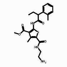 CCC(C(=O)Nc1sc(C(=O)NCCN)c(C)c1C(=O)OC)c1ccccc1C